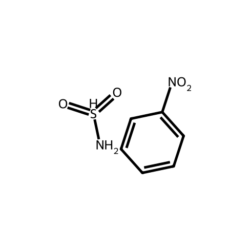 N[SH](=O)=O.O=[N+]([O-])c1ccccc1